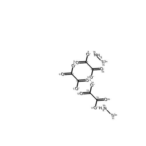 O=C([O-])C(=O)[O-].O=C([O-])C(=O)[O-].O=C([O-])C(=O)[O-].[NH2][Ti+3].[NH2][Ti+3]